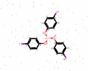 Ic1ccc(OB(Oc2ccc(I)cc2)Oc2ccc(I)cc2)cc1